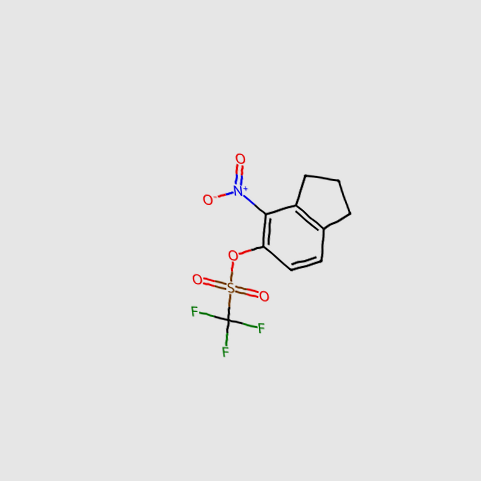 O=[N+]([O-])c1c(OS(=O)(=O)C(F)(F)F)ccc2c1CCC2